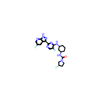 O=C(N[C@@H]1CCC[C@H](Nc2nc(-c3n[nH]c4ncc(F)cc34)ncc2F)C1)N1CC[C@@H](F)C1